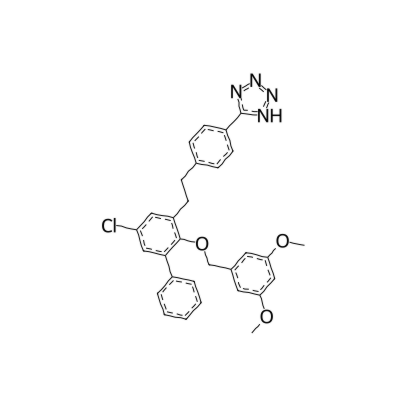 COc1cc(COc2c(CCc3ccc(-c4nnn[nH]4)cc3)cc(Cl)cc2-c2ccccc2)cc(OC)c1